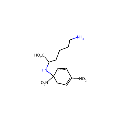 NCCCCC(NC1([N+](=O)[O-])C=CC([N+](=O)[O-])=CC1)C(=O)O